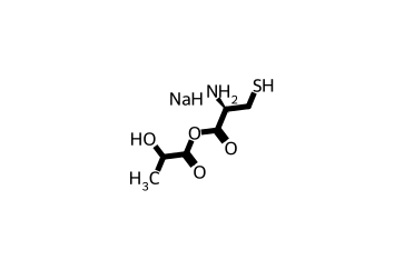 CC(O)C(=O)OC(=O)[C@@H](N)CS.[NaH]